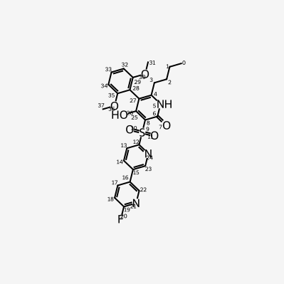 CCCCc1[nH]c(=O)c(S(=O)(=O)c2ccc(-c3ccc(F)nc3)cn2)c(O)c1-c1c(OC)cccc1OC